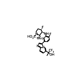 CC(C)(C)C1[C@H](Nc2nc(-c3cnc4ccc(C(C)(O)C(F)(F)F)cn34)ccc2F)[C@@H](F)CCN1C(=O)O